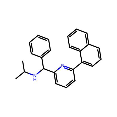 CC(C)NC(c1ccccc1)c1cccc(-c2cccc3ccccc23)n1